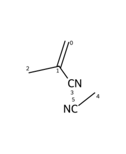 C=C(C)C#N.CC#N